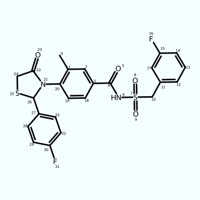 Cc1cc(C(=O)NS(=O)(=O)Cc2cccc(F)c2)ccc1N1C(=O)CSC1c1ccc(F)cc1